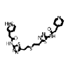 C/C=C\C(=C/CC)CC(=O)Nc1nnc(CCSCCc2nnc(BC(=O)Cc3ccncc3)s2)s1